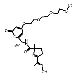 CCC[C@@H](NC(=O)C1(C)CSC(/C(C)=N/O)=N1)c1cc(OCCOCCOCCOCC)cc(=O)o1